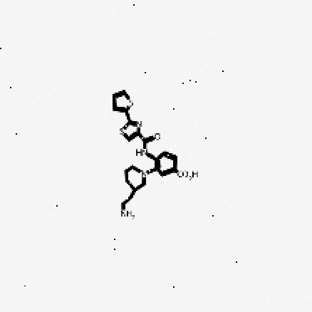 NCCC1CCCN(c2cc(C(=O)O)ccc2NC(=O)c2csc(-c3cccs3)n2)C1